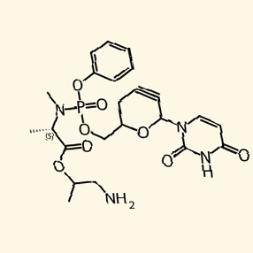 CC(CN)OC(=O)[C@H](C)N(C)P(=O)(OCC1CC#CC(n2ccc(=O)[nH]c2=O)O1)Oc1ccccc1